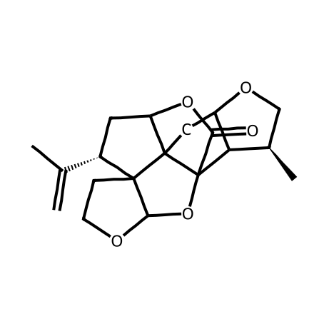 C=C(C)[C@@H]1CC2OC(=O)C34OC5OCCC51C23CC1OC[C@@H](C)C14